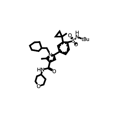 Cc1c(C(=O)NC2CCOCC2)cc(-c2ccc(S(=O)(=O)NC(C)(C)C)c(C3(C)CC3)c2)n1CC1CCCCC1